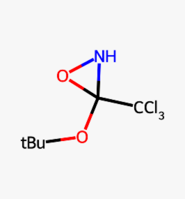 CC(C)(C)OC1(C(Cl)(Cl)Cl)NO1